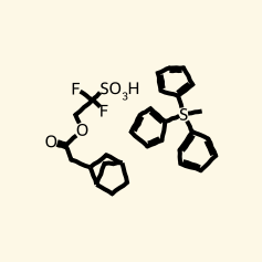 CS(c1ccccc1)(c1ccccc1)c1ccccc1.O=C(CC1CC2CCC1C2)OCC(F)(F)S(=O)(=O)O